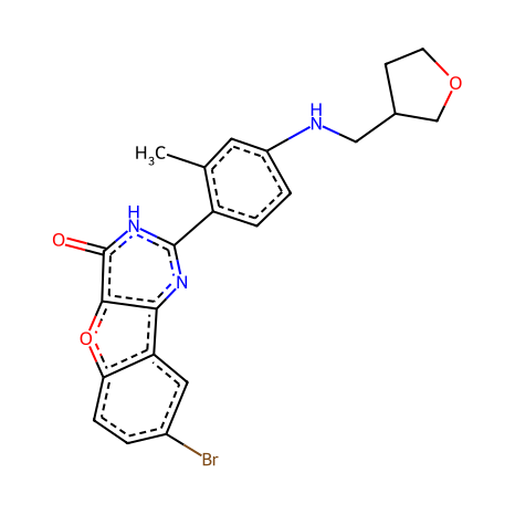 Cc1cc(NCC2CCOC2)ccc1-c1nc2c(oc3ccc(Br)cc32)c(=O)[nH]1